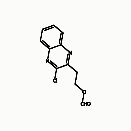 O=COCCc1nc2ccccc2nc1Cl